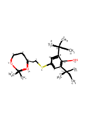 CC1(C)OCC[C@@H](CSc2cc(C(C)(C)C)c(O)c(C(C)(C)C)c2)O1